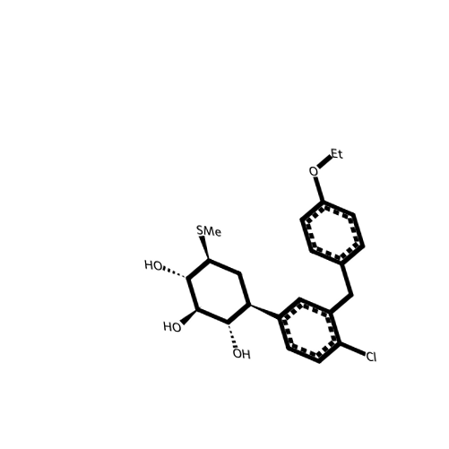 CCOc1ccc(Cc2cc([C@@H]3C[C@H](SC)[C@@H](O)[C@H](O)[C@H]3O)ccc2Cl)cc1